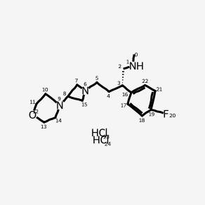 CNC[C@@H](CCN1CC(N2CCOCC2)C1)c1ccc(F)cc1.Cl.Cl